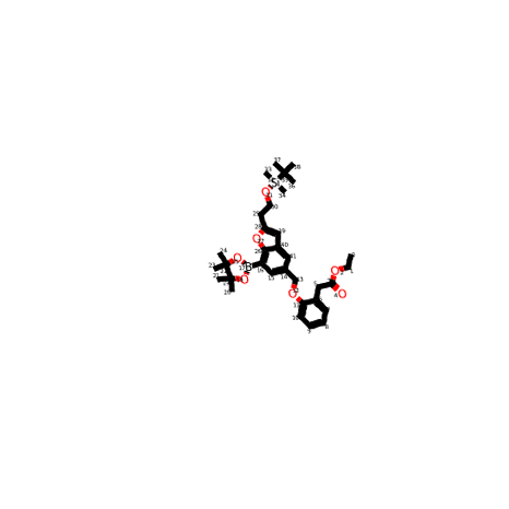 CCOC(=O)Cc1ccccc1OCc1cc(B2OC(C)(C)C(C)(C)O2)c2oc(CCO[Si](C)(C)C(C)(C)C)cc2c1